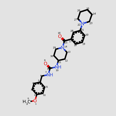 COc1ccc(CNC(=O)NC2CCN(C(=O)c3cccc(N4CCCCC4)c3)CC2)cc1